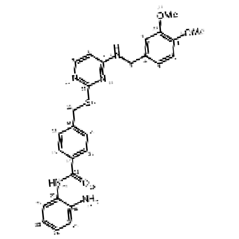 COc1ccc(CNc2ccnc(SCc3ccc(C(=O)Nc4ccccc4N)cc3)n2)cc1OC